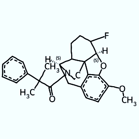 COc1ccc2c3c1O[C@@H]1C(F)CCC4[C@H](C2)N(C(=O)C(C)(C)c2ccccc2)CCC341